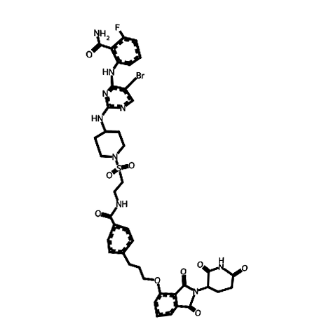 NC(=O)c1c(F)cccc1Nc1nc(NC2CCN(S(=O)(=O)CCNC(=O)c3ccc(CCCOc4cccc5c4C(=O)N(C4CCC(=O)NC4=O)C5=O)cc3)CC2)ncc1Br